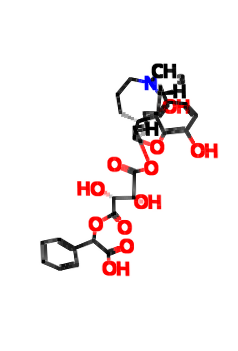 CN1CCC[C@]23c4c5ccc(O)c4O[C@H]2C(OC(=O)[C@H](O)[C@@H](O)C(=O)OC(C(=O)O)c2ccccc2)=CC[C@@]3(O)[C@H]1C5